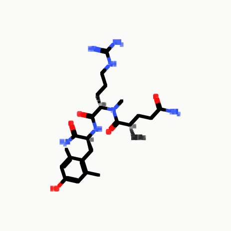 CC(=O)N[C@@H](CCC(N)=O)C(=O)N(C)[C@@H](CCCNC(=N)N)C(=O)N[C@@H](Cc1c(C)cc(O)cc1C)C(N)=O